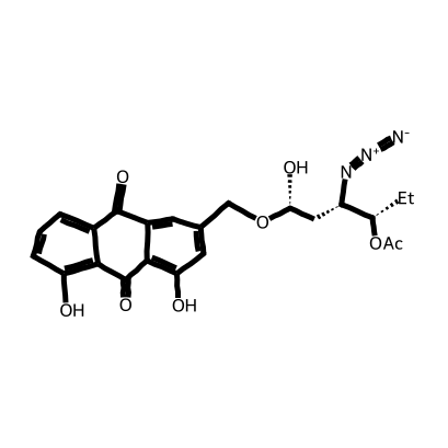 CC[C@H](OC(C)=O)[C@H](C[C@@H](O)OCc1cc(O)c2c(c1)C(=O)c1cccc(O)c1C2=O)N=[N+]=[N-]